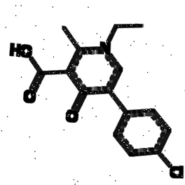 CCn1cc(-c2ccc(Cl)cc2)c(=O)c(C(=O)O)c1C